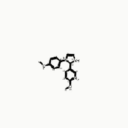 COc1ccc(N2C=CNC2c2ccc(OC)nc2)cc1